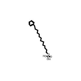 O=P(O)(O)OCCCCCCCCCCCCCCc1ccccc1